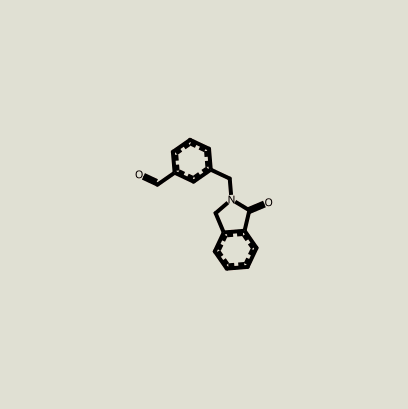 O=Cc1cccc(CN2Cc3ccccc3C2=O)c1